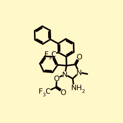 CN1C(=O)C(c2ccccc2)(c2cccc(-c3ccccc3)c2C(F)(F)F)N(OC(=O)C(F)(F)F)C1N